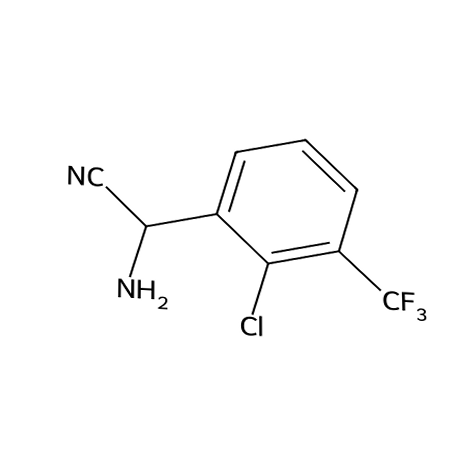 N#CC(N)c1cccc(C(F)(F)F)c1Cl